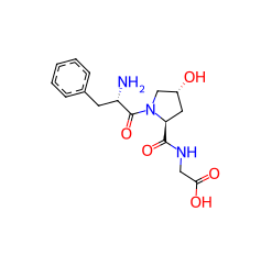 N[C@@H](Cc1ccccc1)C(=O)N1C[C@H](O)C[C@H]1C(=O)NCC(=O)O